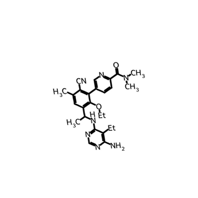 CCOc1c(C(C)Nc2ncnc(N)c2CC)cc(C)c(C#N)c1-c1ccc(C(=O)N(C)C)nc1